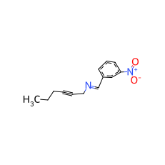 CCCC#CCN=Cc1cccc([N+](=O)[O-])c1